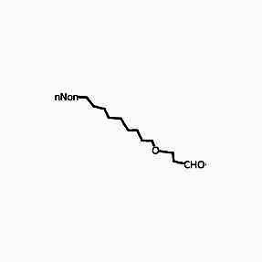 CCCCCCCCCCCCCCCCCCOCC[C]=O